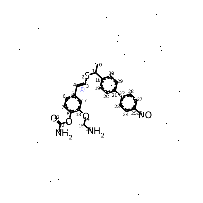 CC(S/C=C/c1ccc(OC(N)=O)c(OCN)c1)c1ccc(-c2ccc(N=O)cc2)cc1